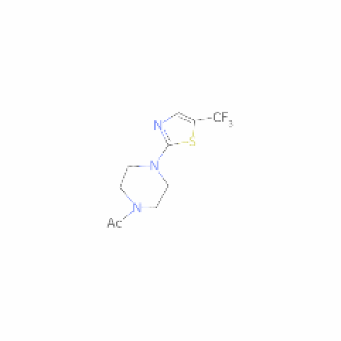 CC(=O)N1CCN(c2ncc(C(F)(F)F)s2)CC1